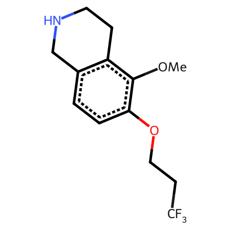 COc1c(OCCC(F)(F)F)ccc2c1CCNC2